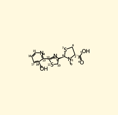 CN1[C@@H](C(=O)O)CS[C@@H]1C1CSC(c2ncccc2O)=N1